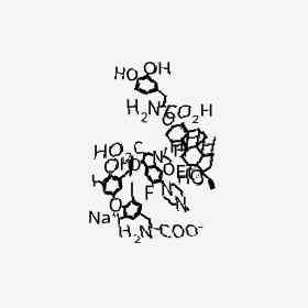 C#C[C@]1(O)CC[C@H]2[C@@H]3CCC4=CC(=O)CC[C@@H]4[C@H]3CC[C@@]21CC.C[C@H]1COc2c(N3CCN(C)CC3)c(F)cc3c(=O)c(C(=O)O)cn1c23.N[C@@H](Cc1cc(I)c(Oc2cc(I)c(O)c(I)c2)c(I)c1)C(=O)[O-].N[C@@H](Cc1ccc(O)c(O)c1)C(=O)O.[Na+]